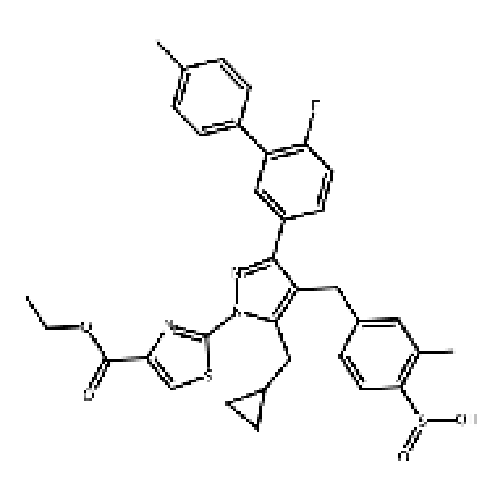 CCOC(=O)c1csc(-n2nc(-c3ccc(F)c(-c4ccc(C)cc4)c3)c(Cc3ccc(S(=O)O)c(F)c3)c2CC2CC2)n1